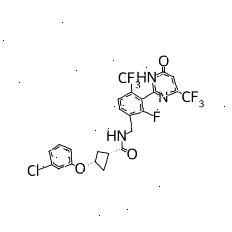 O=c1cc(C(F)(F)F)nc(-c2c(C(F)(F)F)ccc(CNC(=O)[C@H]3C[C@@H](Oc4cccc(Cl)c4)C3)c2F)[nH]1